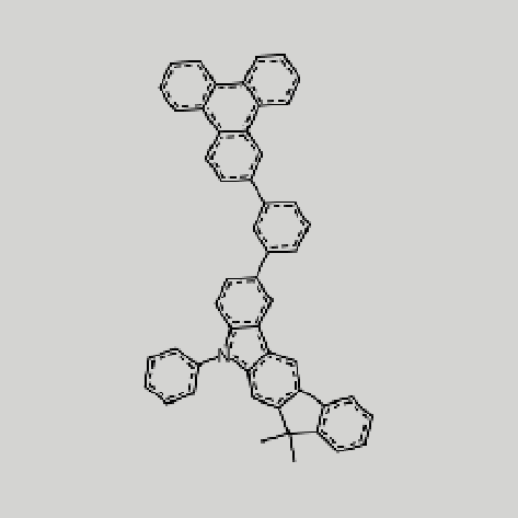 CC1(C)c2ccccc2-c2cc3c4cc(-c5cccc(-c6ccc7c8ccccc8c8ccccc8c7c6)c5)ccc4n(-c4ccccc4)c3cc21